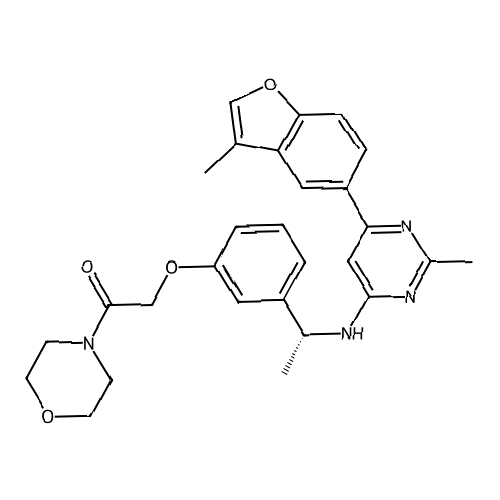 Cc1nc(N[C@H](C)c2cccc(OCC(=O)N3CCOCC3)c2)cc(-c2ccc3occ(C)c3c2)n1